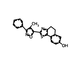 Cc1c(-c2ccccc2)noc1-c1nc2c(s1)-c1ccc(O)cc1CC2